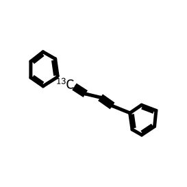 C(#Cc1ccccc1)C#[13C]c1ccccc1